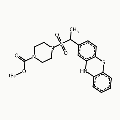 CC(c1ccc2c(c1)Nc1ccccc1S2)S(=O)(=O)N1CCN(C(=O)OC(C)(C)C)CC1